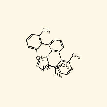 C=C(C)c1nccn1-c1c(-c2c(C)cccc2C)cccc1-c1c(C)cccc1C